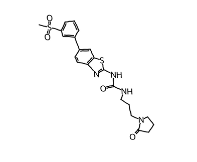 CS(=O)(=O)c1cccc(-c2ccc3nc(NC(=O)NCCCN4CCCC4=O)sc3c2)c1